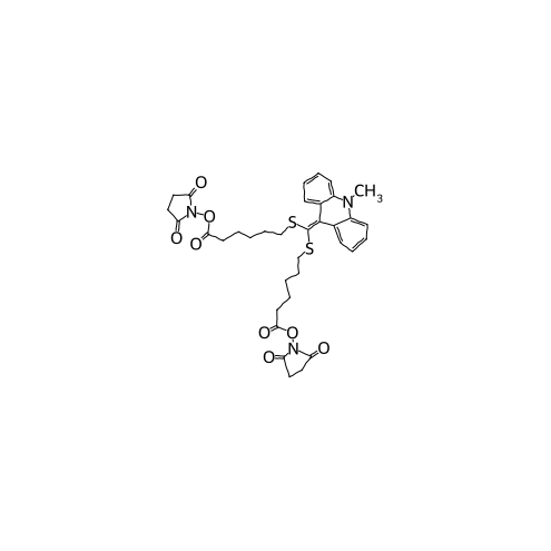 CN1c2ccccc2C(=C(SCCCCCC(=O)ON2C(=O)CCC2=O)SCCCCCC(=O)ON2C(=O)CCC2=O)c2ccccc21